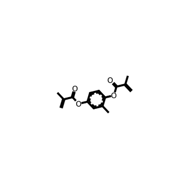 C=C(C)C(=O)Oc1ccc(OC(=O)C(=C)C)c(C)c1